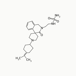 CC(C)=C1CCC(N2CCC3(CC2)C(=O)N(CCNS(N)(=O)=O)Cc2ccccc23)CC1